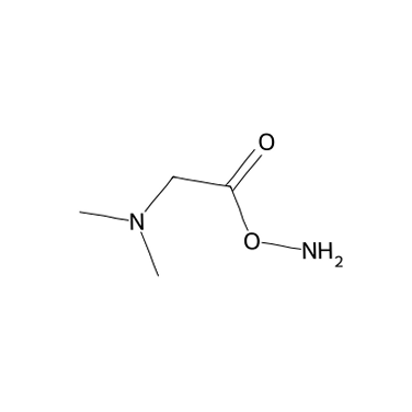 CN(C)CC(=O)ON